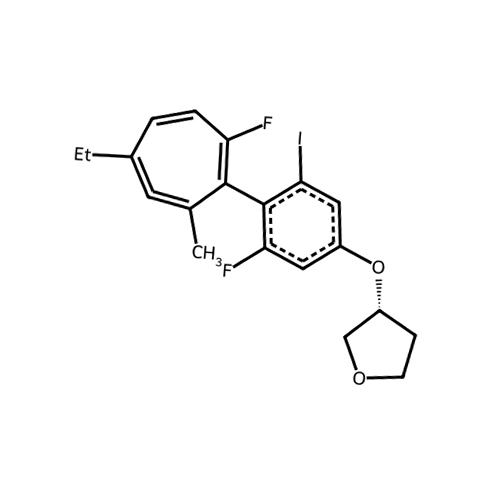 CCC1=C=C(C)C(c2c(F)cc(O[C@@H]3CCOC3)cc2I)=C(F)C=C1